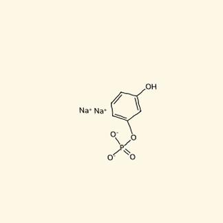 O=P([O-])([O-])Oc1cccc(O)c1.[Na+].[Na+]